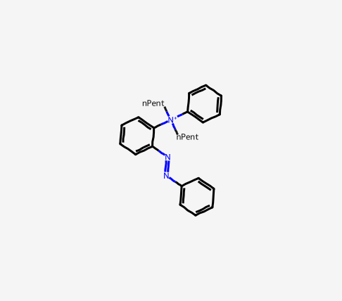 CCCCC[N+](CCCCC)(c1ccccc1)c1ccccc1N=Nc1ccccc1